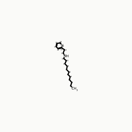 CCCCCCCCCCCCNCCc1ccccn1